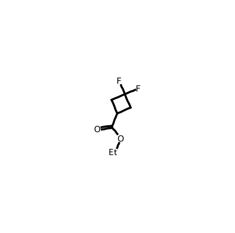 CCOC(=O)C1CC(F)(F)C1